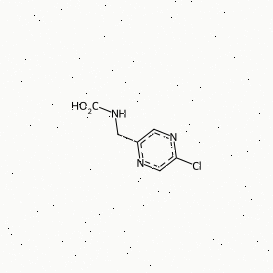 O=C(O)NCc1cnc(Cl)cn1